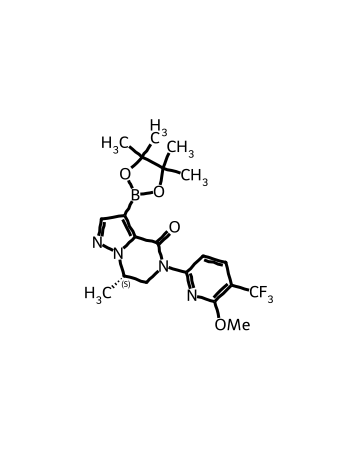 COc1nc(N2C[C@H](C)n3ncc(B4OC(C)(C)C(C)(C)O4)c3C2=O)ccc1C(F)(F)F